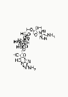 Nc1ncnc2c1ncn2[C@@H]1O[C@H](COP(=O)(O)OP(=O)(O)NP(=O)(O)OP(=O)(O)OC[C@H]2O[C@@H](n3cnc4c(N)ncnc43)[C@@H](O)C2O)C(O)C1O